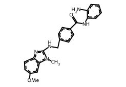 COc1ccc2nc(NCc3ccc(C(=O)Nc4ccccc4N)cc3)n(C)c2c1